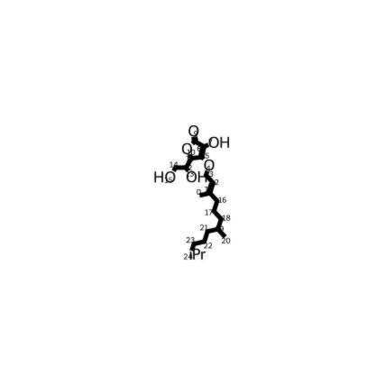 C/C(=C\COC1=C(O)C(=O)OC1C(O)CO)CCCC(C)CCCC(C)C